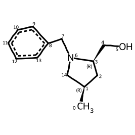 C[C@@H]1C[C@H](CO)N(Cc2ccccc2)C1